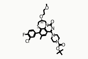 COCCO[C@H]1CSc2c(-c3ccc(F)c(Cl)c3)c(C)cc3c(N4CCN(C(=O)OC(C)(C)C)CC4)nc(=O)n(c23)C1